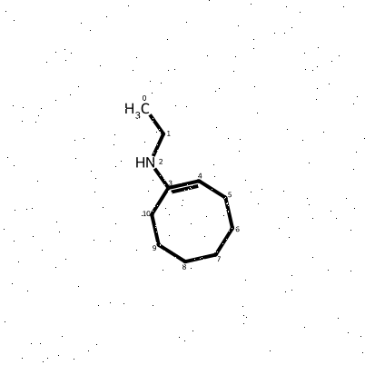 CCNC1=CCCCCCC1